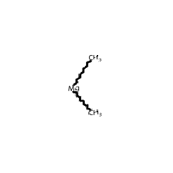 CCCCCCCCCC[CH2][Mg][CH2]CCCCCCCCCC